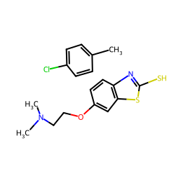 CN(C)CCOc1ccc2nc(S)sc2c1.Cc1ccc(Cl)cc1